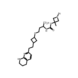 CC(=O)N1CC(C)(OC(=O)NC(CCOC2CC(CCc3ccc4c(n3)NCCC4)C2)C(=O)O)C1